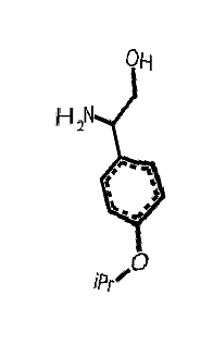 CC(C)Oc1ccc(C(N)CO)cc1